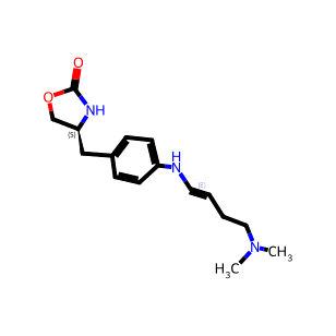 CN(C)CC/C=C/Nc1ccc(C[C@H]2COC(=O)N2)cc1